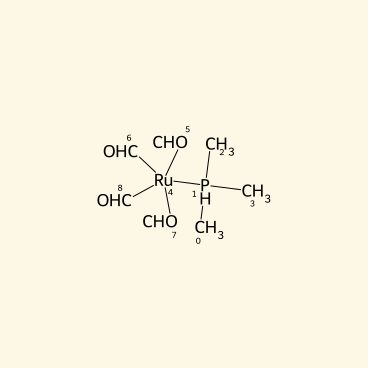 C[PH](C)(C)[Ru]([CH]=O)([CH]=O)([CH]=O)[CH]=O